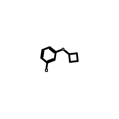 Clc1cccc(OC2CCC2)c1